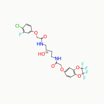 O=C(COc1ccc2c(c1)OC(F)(F)C(F)(F)O2)NCC[C@H](O)CNC(=O)COc1ccc(Cl)c(F)c1